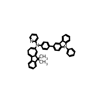 CC1(C)C2=CC(N(c3ccc(-c4ccc5c(c4)c4ccccc4n5-c4ccccc4)cc3)c3ccccn3)=CCC=C2c2ccccc21